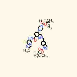 Cc1cn2cc(NC(=O)c3ccc(N4CCN(C(=O)OC(C)(C)C)CC4)c4cn(Cc5ccc6c(cnn6C(=O)OC(C)(C)C)c5)nc34)cc(F)c2n1